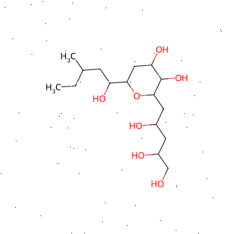 CCC(C)CC(O)C1CC(O)C(O)C(CC(O)CC(O)CO)O1